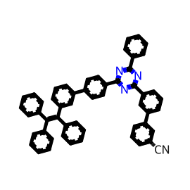 N#Cc1cccc(-c2cccc(-c3nc(-c4ccccc4)nc(-c4ccc(-c5cccc(C(=C(c6ccccc6)c6ccccc6)c6ccccc6)c5)cc4)n3)c2)c1